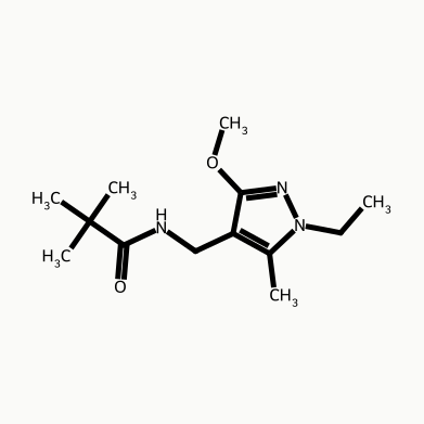 CCn1nc(OC)c(CNC(=O)C(C)(C)C)c1C